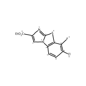 CCOC(=O)c1cn2c(n1)sc1c(F)c(Cl)ccc12